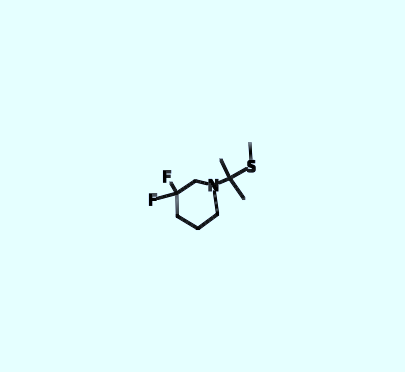 CSC(C)(C)N1CCCC(F)(F)C1